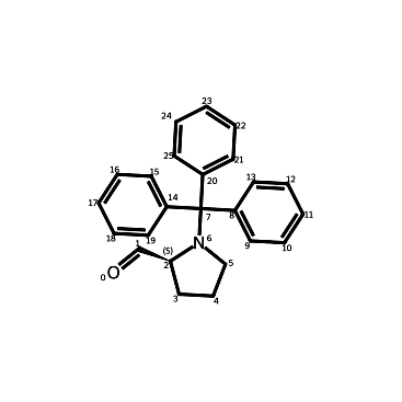 O=C[C@@H]1CCCN1C(c1ccccc1)(c1ccccc1)c1ccccc1